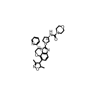 CC1=NOC(C)C1c1ccc2nc(N3CC[C@@H](NC(=O)N4CCOCC4)C3)n3c2c1OC[C@@H]3c1ccccn1